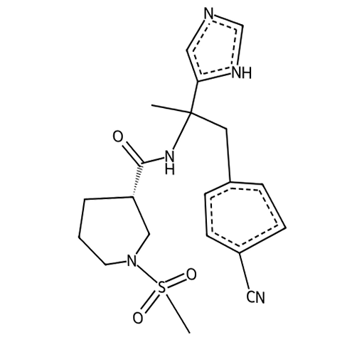 CC(Cc1ccc(C#N)cc1)(NC(=O)[C@H]1CCCN(S(C)(=O)=O)C1)c1cnc[nH]1